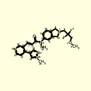 COCC(F)(F)CN1Cc2ccc(N(N)C(=O)/C=C/c3cnccc3-c3cnn(C)c3)cc2C1